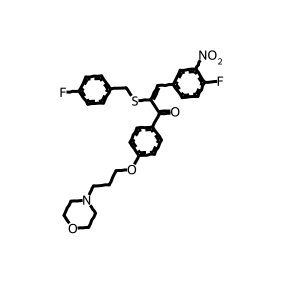 O=C(/C(=C\c1ccc(F)c([N+](=O)[O-])c1)SCc1ccc(F)cc1)c1ccc(OCCCN2CCOCC2)cc1